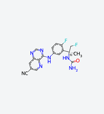 C[C@](CF)(NC(N)=O)c1cc(Nc2ncnc3cc(C#N)cnc23)ccc1F